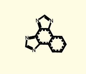 C1=Nc2c(c3c(c4ccccc24)N=CN=3)=N1